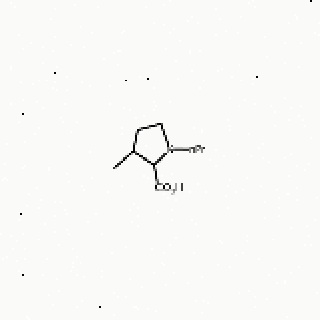 CCCN1CCC(C)C1C(=O)O